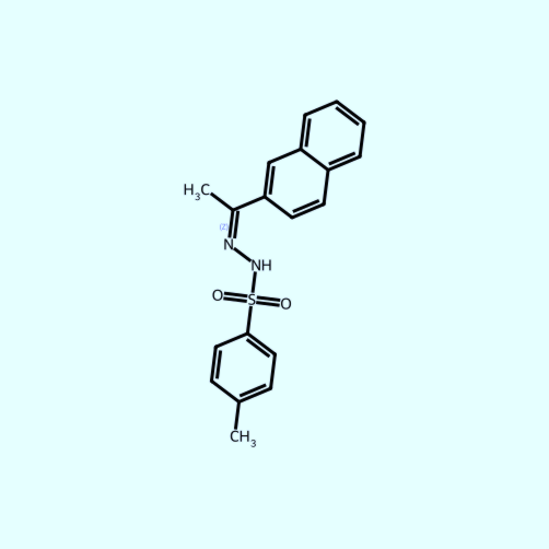 C/C(=N/NS(=O)(=O)c1ccc(C)cc1)c1ccc2ccccc2c1